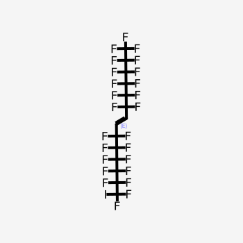 FC(F)(F)C(F)(F)C(F)(F)C(F)(F)C(F)(F)C(F)(F)/C=C/C(F)(F)C(F)(F)C(F)(F)C(F)(F)C(F)(F)C(F)(F)I